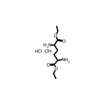 CCOC(=O)C(N)CCC(N)C(=O)OCC.Cl.Cl